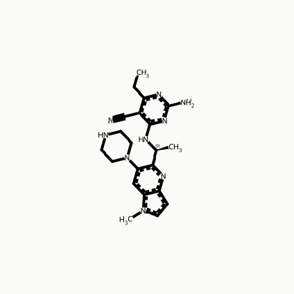 CCc1nc(N)nc(N[C@@H](C)c2nc3ccn(C)c3cc2N2CCNCC2)c1C#N